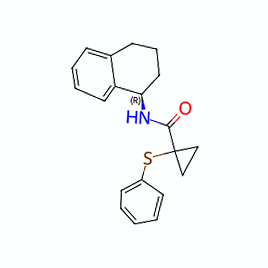 O=C(N[C@@H]1CCCc2ccccc21)C1(Sc2ccccc2)CC1